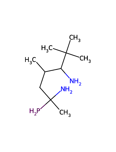 CC(CC(C)(N)P)C(N)C(C)(C)C